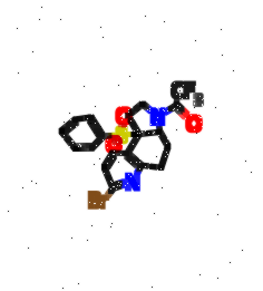 O=C(N1CCC2(S(=O)(=O)c3ccccc3)c3ccc(Br)nc3CCC12)C(F)(F)F